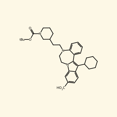 CC(C)(C)OC(=O)N1CCCC(CCN2CCn3c(c(C4CCCCC4)c4ccc(C(=O)O)cc43)-c3ccccc32)C1